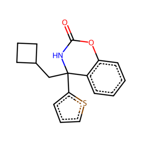 O=C1NC(CC2CCC2)(c2cccs2)c2ccccc2O1